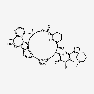 CCn1c(-c2cccnc2[C@H](C)OC)c2c3cc(ccc31)-c1csc(n1)C[C@H](NC(=O)C(C(C)C)N(C)C(=O)N1CC[C@]13CCCN(C)C3)C(=O)N1CCC[C@H](N1)C(=O)OCC(C)(C)C2